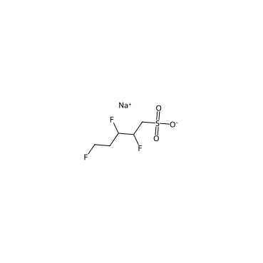 O=S(=O)([O-])CC(F)C(F)CCF.[Na+]